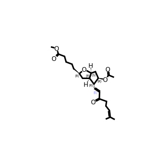 COC(=O)CCCC[C@@H]1C[C@@H]2[C@@H](/C=C/C(=O)CCC=C(C)C)[C@H](OC(C)=O)C[C@@H]2O1